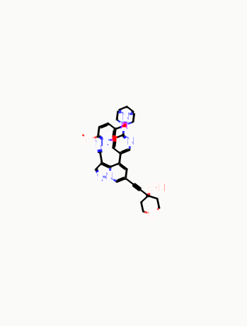 COc1ccc(CN2C3CC2CN(c2ccc(-c4cc(C#CC5(O)CCOCC5)cn5ncc(C#N)c45)cn2)C3)cn1